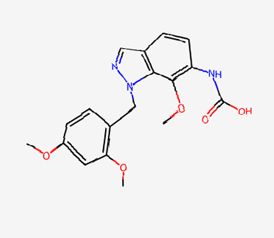 COc1ccc(Cn2ncc3ccc(NC(=O)O)c(OC)c32)c(OC)c1